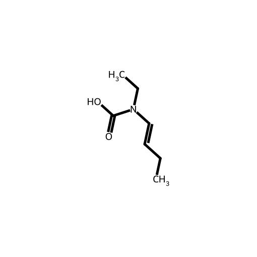 CC/C=C/N(CC)C(=O)O